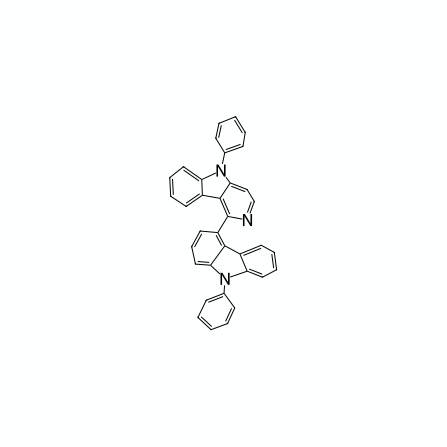 c1ccc(-n2c3ccccc3c3c(-c4nccc5c4c4ccccc4n5-c4ccccc4)cccc32)cc1